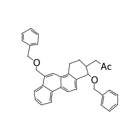 CC(=O)CC1CCc2c(ccc3c2cc(COCc2ccccc2)c2ccccc23)C1OCc1ccccc1